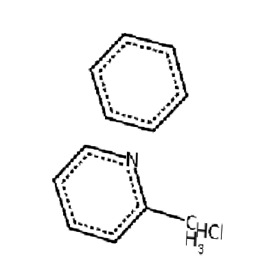 Cc1ccccn1.Cl.c1ccccc1